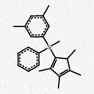 CC1=C(C)C(C)C([Si](C)(c2ccccc2)c2cc(C)cc(C)c2)=C1C